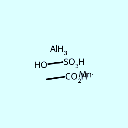 CC(=O)O.O=S(=O)(O)O.[AlH3].[Mn]